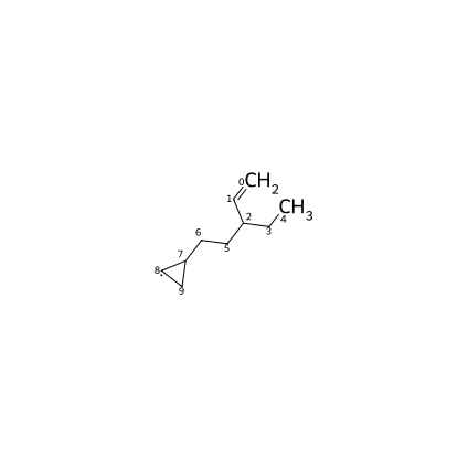 C=CC(CC)CCC1[CH]C1